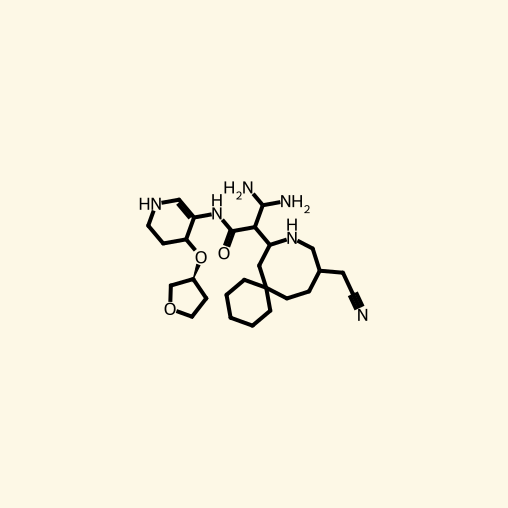 N#CCC1CCC2(CCCCC2)CC(C(C(=O)NC2=CNCCC2O[C@H]2CCOC2)C(N)N)NC1